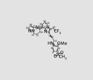 COc1cc(S(C)(=O)=O)ccc1NCC#Cc1nc2c([C@@H]3CCCn4nccc4N3)cccn2c1CC(F)(F)F